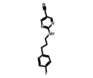 N#Cc1cnc(NCCCc2ccc(F)cc2)nc1